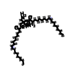 CCCCCCCC/C=C\CCCCCCCC(=O)NCC(CN)(CN)CNC(=O)CCCCCCC/C=C\CCCCCCCC